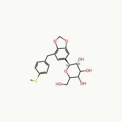 CSc1ccc(Cc2cc([C@@H]3OC(CO)C(O)C(O)[C@H]3O)cc3c2OCO3)cc1